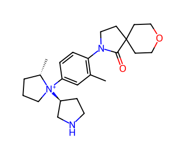 Cc1cc([N+]2([C@H]3CCNC3)CCC[C@@H]2C)ccc1N1CCC2(CCOCC2)C1=O